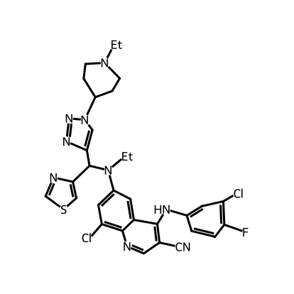 CCN1CCC(n2cc(C(c3cscn3)N(CC)c3cc(Cl)c4ncc(C#N)c(Nc5ccc(F)c(Cl)c5)c4c3)nn2)CC1